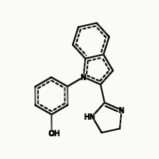 Oc1cccc(-n2c(C3=NCCN3)cc3ccccc32)c1